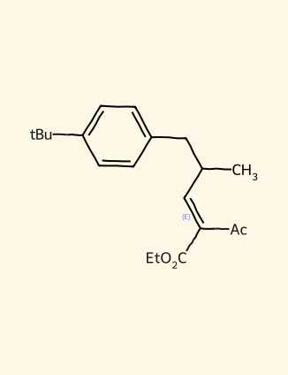 CCOC(=O)/C(=C/C(C)Cc1ccc(C(C)(C)C)cc1)C(C)=O